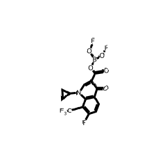 O=C(OB(OF)OF)c1cn(C2CC2)c2c(C(F)(F)F)c(F)ccc2c1=O